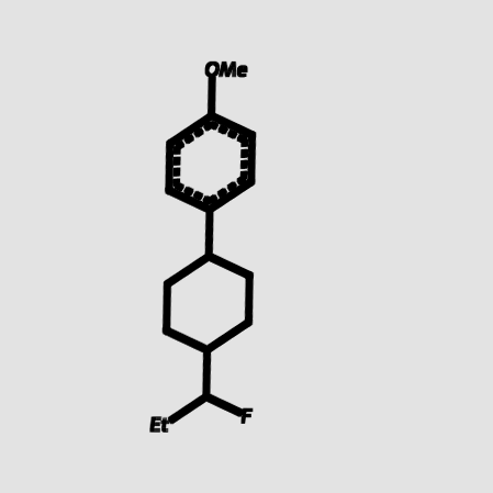 CCC(F)C1CCC(c2ccc(OC)cc2)CC1